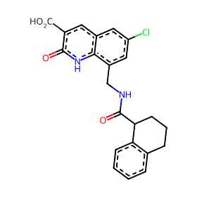 O=C(O)c1cc2cc(Cl)cc(CNC(=O)C3CCCc4ccccc43)c2[nH]c1=O